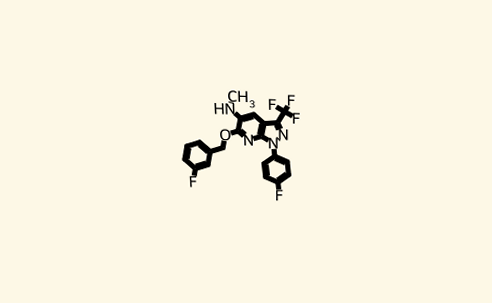 CNc1cc2c(C(F)(F)F)nn(-c3ccc(F)cc3)c2nc1OCc1cccc(F)c1